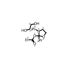 CCC(=O)OC1(C(C)C)OCCN1C(C)C.OCCO